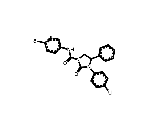 O=C(Nc1ccc(Cl)cc1)N1CC(c2ccccc2)N(c2ccc(Cl)cc2)C1=O